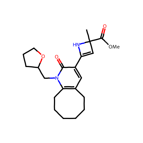 COC(=O)C1(C)C=C(c2cc3c(n(CC4CCCO4)c2=O)CCCCCC3)N1